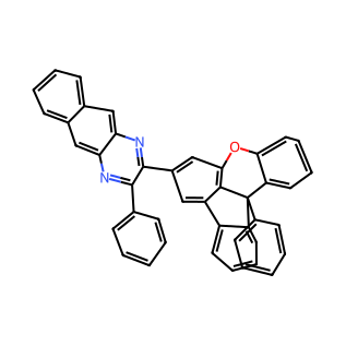 c1ccc(-c2nc3cc4ccccc4cc3nc2-c2cc3c4c(c2)-c2ccccc2C4(c2ccccc2)c2ccccc2O3)cc1